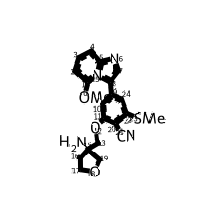 COc1cccc2ncc(-c3cc(OC[C@@]4(N)CCOC4)c(C#N)c(SC)c3)n12